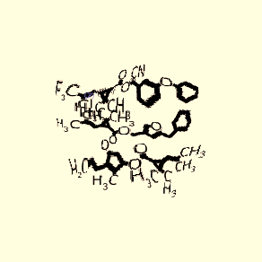 C=CCC1=C(C)C(OC(=O)C2C(C=C(C)C)C2(C)C)CC1=O.CC(C)=CC1C(C(=O)OCc2coc(Cc3ccccc3)c2)C1(C)C.CC1(C)[C@H](C(=O)O[C@H](C#N)c2cccc(Oc3ccccc3)c2)[C@@H]1/C=C(\Cl)C(F)(F)F